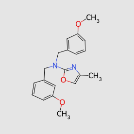 COc1cccc(CN(Cc2cccc(OC)c2)c2nc(C)co2)c1